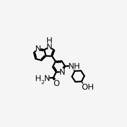 NC(=O)c1cc(-c2c[nH]c3ncccc23)cc(N[C@H]2CC[C@H](O)CC2)n1